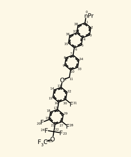 CCCc1ccc2cc(-c3ccc(COc4ccc(-c5cc(F)c(C(F)(F)OC(F)(F)F)c(F)c5)c(F)c4)cc3)ccc2c1